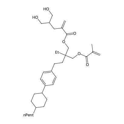 C=C(C)C(=O)OCC(CC)(CCc1ccc(C2CCC(CCCCC)CC2)cc1)COC(=O)C(=C)CC(CO)CO